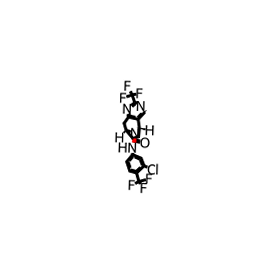 O=C(Nc1ccc(C(F)(F)F)c(Cl)c1)N1[C@@H]2CC[C@H]1c1cnc(C(F)(F)F)nc1C2